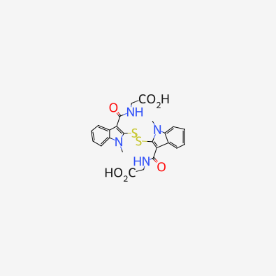 Cn1c(SSc2c(C(=O)NCC(=O)O)c3ccccc3n2C)c(C(=O)NCC(=O)O)c2ccccc21